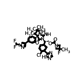 C=C(C(C)(C)C)[C@]1(c2ccc(-c3cnn(C(F)F)c3)cc2)NC(=N)N([C@H](COC(=O)N2CC(C)(F)C2)c2ccc(Cl)c(-c3ncn[nH]3)c2)C1=O